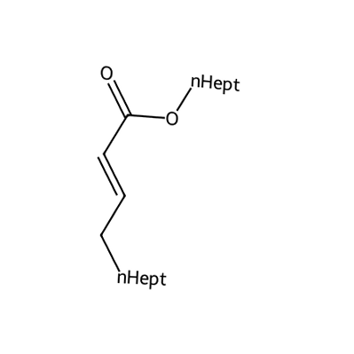 CCCCCCCCC=CC(=O)OCCCCCCC